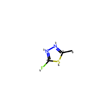 Cc1nnc(F)s1